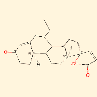 CCC1CC2=CC(=O)CC[C@@H]2C2CC[C@@]3(C)C(CC[C@@]34C=CC(=O)O4)C12